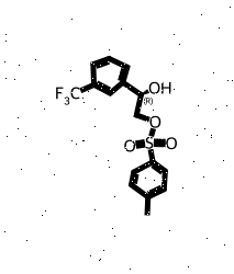 Cc1ccc(S(=O)(=O)OC[C@H](O)c2cccc(C(F)(F)F)c2)cc1